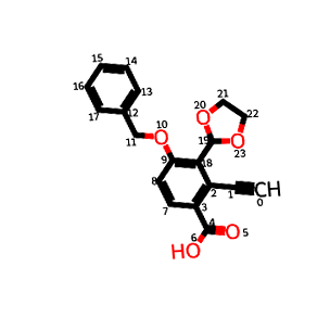 C#Cc1c(C(=O)O)ccc(OCc2ccccc2)c1C1OCCO1